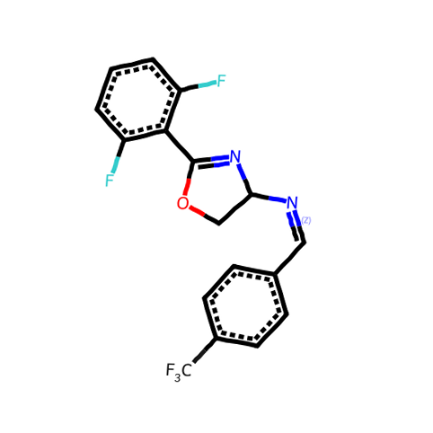 Fc1cccc(F)c1C1=NC(/N=C\c2ccc(C(F)(F)F)cc2)CO1